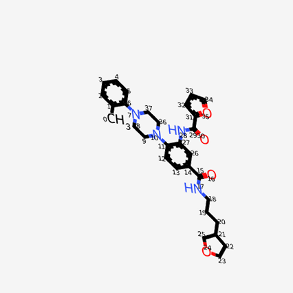 Cc1ccccc1N1CCN(c2ccc(C(=O)NCCCC3CCOC3)cc2NC(=O)c2ccco2)CC1